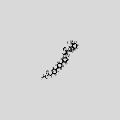 CCOC(=O)CC1CCC(c2ccc(-c3ccc4nc(C(=O)NCc5c(F)cccc5Cl)cn4c3)cc2)CC1